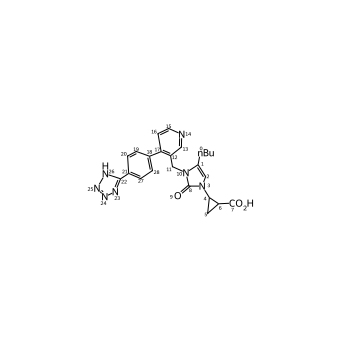 CCCCc1cn(C2CC2C(=O)O)c(=O)n1Cc1cnccc1-c1ccc(-c2nnn[nH]2)cc1